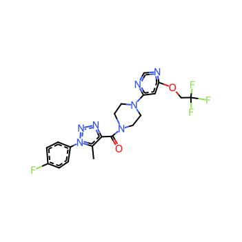 Cc1c(C(=O)N2CCN(c3cc(OCC(F)(F)F)ncn3)CC2)nnn1-c1ccc(F)cc1